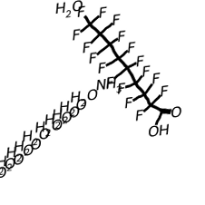 N.O.O.O.O.O.O.O.O.O.O.O.O.O=C(O)C(F)(F)C(F)(F)C(F)(F)C(F)(F)C(F)(F)C(F)(F)C(F)(F)C(F)(F)F